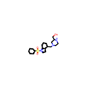 O=S(=O)(c1ccccc1)n1ccc2c(CN3CCNC(CO)C3)cccc21